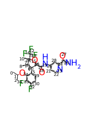 CC(C)Oc1c([C@H]2[C@@H](C)[C@](C)(C(F)(F)F)O[C@H]2C(=O)Nc2ccnc(C(N)=O)c2)ccc(F)c1F